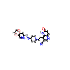 Cn1c(=O)ccc2ncc(C#N)c(CCN3CCC(NCc4cc5c(cn4)OCCO5)CC3)c21